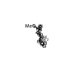 COCCCn1c(C2CCCN(C(=O)CC(N)CNC(=O)c3ccc(Cl)c(Cl)c3)C2)nc2ccccc21